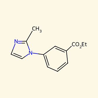 CCOC(=O)c1cccc(-n2ccnc2C)c1